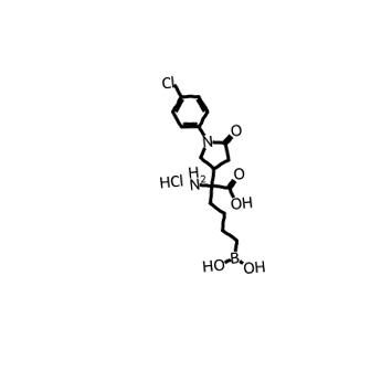 Cl.NC(CCCCB(O)O)(C(=O)O)C1CC(=O)N(c2ccc(Cl)cc2)C1